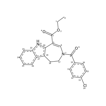 CCOC(=O)C1=CN(C(=O)c2ccc(Cl)cc2)CCc2c1[nH]c1ccccc21